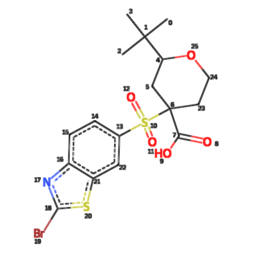 CC(C)(C)C1CC(C(=O)O)(S(=O)(=O)c2ccc3nc(Br)sc3c2)CCO1